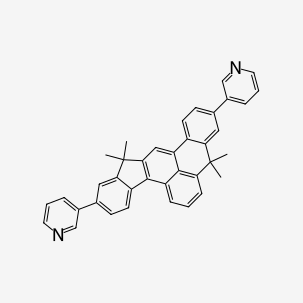 CC1(C)c2cc(-c3cccnc3)ccc2-c2c1cc1c3c(cccc23)C(C)(C)c2cc(-c3cccnc3)ccc2-1